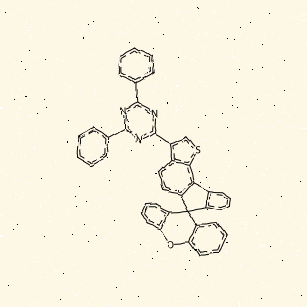 c1ccc(-c2nc(-c3ccccc3)nc(-c3csc4c5c(ccc34)C3(c4ccccc4Oc4ccccc43)c3ccccc3-5)n2)cc1